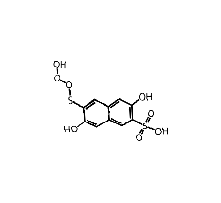 O=S(=O)(O)c1cc2cc(O)c(SOOO)cc2cc1O